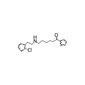 O=C(CCCCCNCCc1ccccc1Cl)c1cccs1